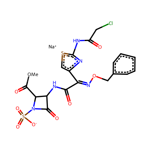 COC(=O)C1C(NC(=O)C(=NOCc2ccccc2)c2csc(NC(=O)CCl)n2)C(=O)N1S(=O)(=O)[O-].[Na+]